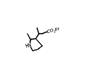 CCOC(=O)C(C)C1CCCNC1C